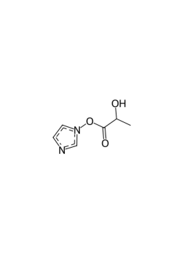 CC(O)C(=O)On1ccnc1